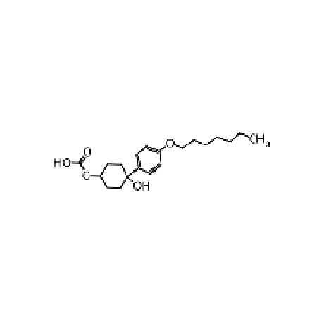 CCCCCCCOc1ccc(C2(O)CCC(OC(=O)O)CC2)cc1